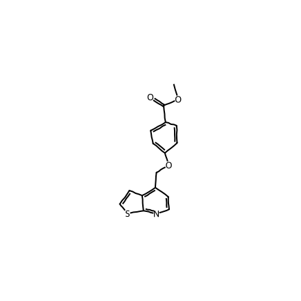 COC(=O)c1ccc(OCc2ccnc3sccc23)cc1